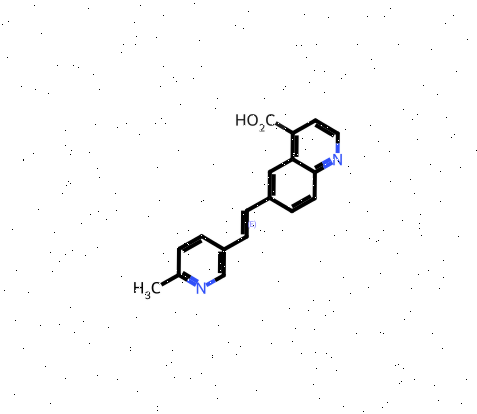 Cc1ccc(/C=C/c2ccc3nccc(C(=O)O)c3c2)cn1